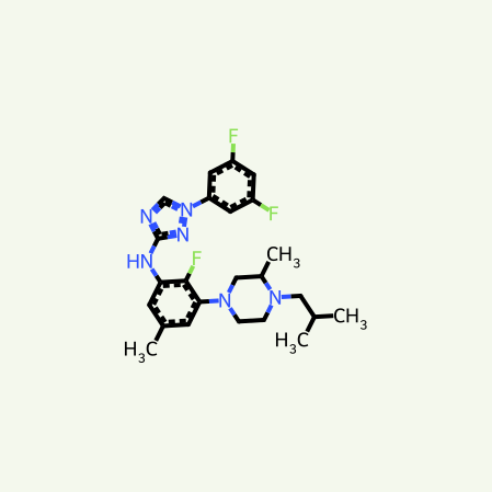 Cc1cc(Nc2ncn(-c3cc(F)cc(F)c3)n2)c(F)c(N2CCN(CC(C)C)C(C)C2)c1